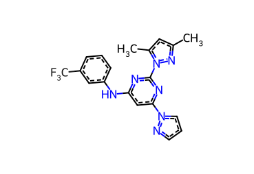 Cc1cc(C)n(-c2nc(Nc3cccc(C(F)(F)F)c3)cc(-n3cccn3)n2)n1